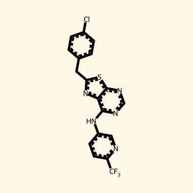 FC(F)(F)c1ccc(Nc2ncnc3sc(Cc4ccc(Cl)cc4)nc23)cn1